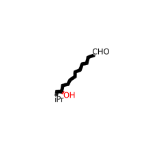 CC(C)CC(O)CCCCCCCCCCC=O